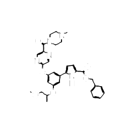 COCC(C)Oc1cc(Oc2cnc(C(=O)N3CCN(C)CC3)cn2)cc(-c2ccc(C(=O)OCc3ccccc3)[nH]2)c1